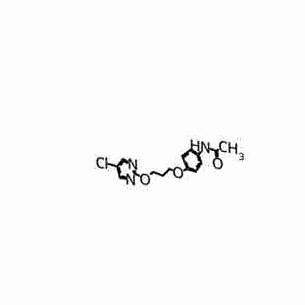 CC(=O)Nc1ccc(OCCCOc2ncc(Cl)cn2)cc1